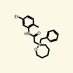 CCc1ccc(C)c(NC(=O)C[N+]2(Cc3ccccc3)CCCCCO2)c1